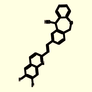 OC1c2cc(/C=C/c3ccc4cc(F)c(F)cc4n3)ccc2COc2ccccc21